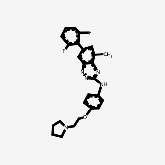 Cc1cc(-c2c(F)cccc2F)cc2nnc(Nc3ccc(OCCN4CCCC4)cc3)nc12